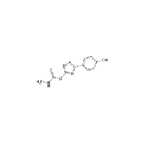 CNC(=O)Oc1nc(-c2ccc(O)cc2)cs1